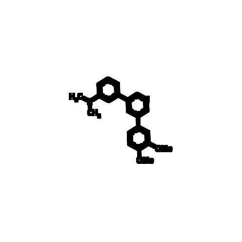 COc1ccc(-c2cncc(-c3cccc(N(C)C)c3)c2)cc1OC